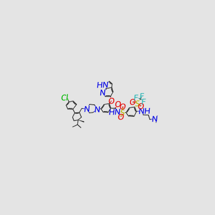 CC(C)[C@]1(C)CCC(c2ccc(Cl)cc2)=C(CN2CCN(c3ccc(C(=O)NS(=O)(=O)c4ccc(NCCCN(C)C)c(S(=O)(=O)C(F)(F)F)c4)c(Oc4cnc5[nH]ccc5c4)c3)CC2)C1